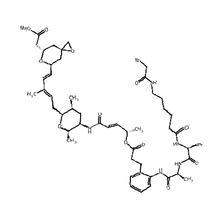 COC(=O)C[C@@H]1C[C@]2(CO2)C[C@@H](C=CC(C)=CC[C@@H]2O[C@H](C)[C@H](NC(=O)C=C[C@H](C)OC(=O)CCc3ccccc3NC(=O)[C@H](C)NC(=O)[C@@H](NC(=O)CCCCCNC(=O)CBr)C(C)C)C[C@@H]2C)O1